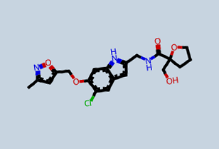 Cc1cc(COc2cc3[nH]c(CNC(=O)C4(CO)CCCO4)cc3cc2Cl)on1